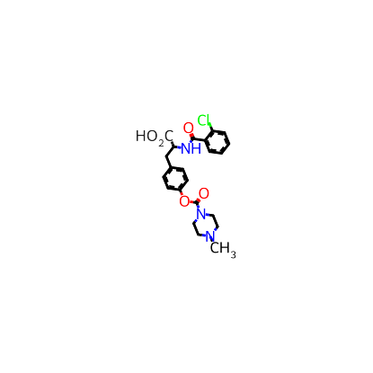 CN1CCN(C(=O)Oc2ccc(CC(NC(=O)c3ccccc3Cl)C(=O)O)cc2)CC1